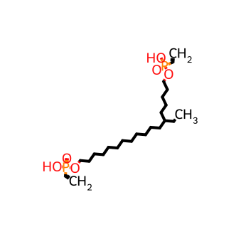 C=CP(=O)(O)OCCCCCCCCCCCCC(CC)CCCCCOP(=O)(O)C=C